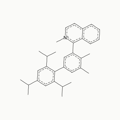 Cc1cc(-c2c(C(C)C)cc(C(C)C)cc2C(C)C)cc(-c2c3ccccc3cc[n+]2C)c1C